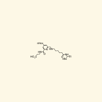 CCCCCCc1cc(CNCCCCCC(=O)NC(CC)CCCC)nc(C(=O)NCCS(=O)(=O)O)c1